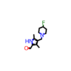 Cc1[nH]c(C=O)c(C)c1CN1CCC(F)CC1